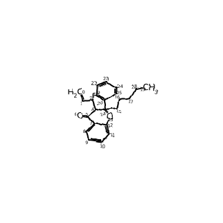 C=CC(F)C1C(=O)c2ccccc2OC1(CCCCC)c1ccccc1